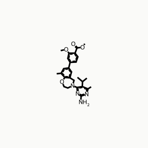 COC(=O)c1ccc(-c2cc(C)c3c(c2)CN(c2nc(N)nc(C)c2C(C)C)CCO3)cc1OC